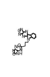 Nc1nonc1NC(=O)CCCn1c2ccccc2c2nc3nonc3nc21